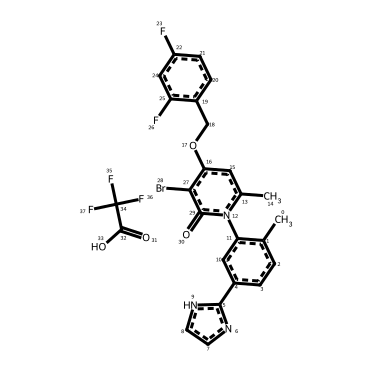 Cc1ccc(-c2ncc[nH]2)cc1-n1c(C)cc(OCc2ccc(F)cc2F)c(Br)c1=O.O=C(O)C(F)(F)F